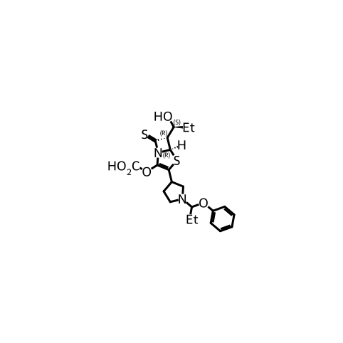 CCC(Oc1ccccc1)N1CCC(C2=C(OC(=O)O)N3C(=S)[C@H]([C@@H](O)CC)[C@H]3S2)C1